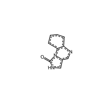 O=c1[nH]cc2cnc3ccccc3n12